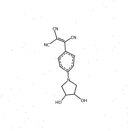 N#CC(C#N)=C(C#N)c1ccc(N2CC(O)C(O)C2)cc1